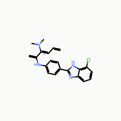 C=C/C=C(/C(=C)Nc1ccc(-c2nc3cccc(Cl)c3[nH]2)cc1)N(C)C